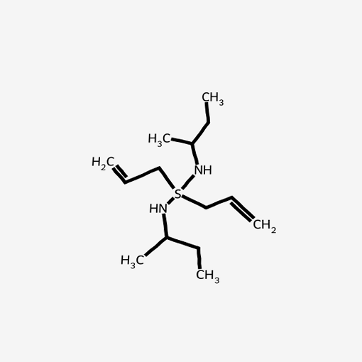 C=CCS(CC=C)(NC(C)CC)NC(C)CC